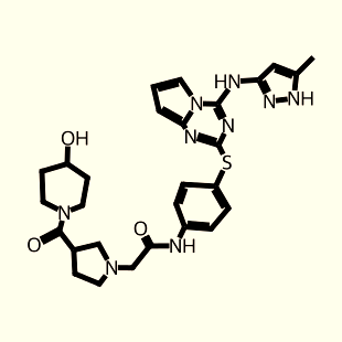 Cc1cc(Nc2nc(Sc3ccc(NC(=O)CN4CCC(C(=O)N5CCC(O)CC5)C4)cc3)nc3cccn23)n[nH]1